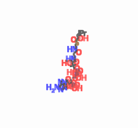 CC(C)CC(O)C(=O)SCCNC(=O)CCNC(=O)C(O)C(C)(C)COP(=O)(O)OP(=O)(O)OC[C@H]1O[C@@H](n2cnc3c(N)ncnc32)[C@H](O)[C@@H]1OP(=O)(O)O